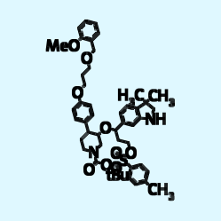 COc1ccccc1COCCCOc1ccc(C2CCN(C(=O)OC(C)(C)C)CC2OC(CCOS(=O)(=O)c2ccc(C)cc2)c2ccc3c(c2)NCC3(C)C)cc1